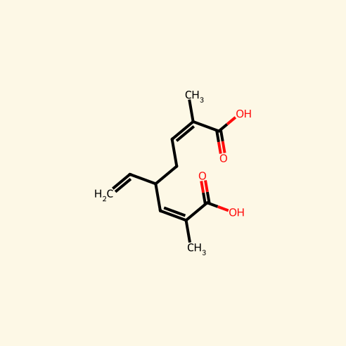 C=CC(C=C(C)C(=O)O)CC=C(C)C(=O)O